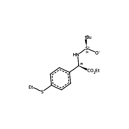 CCOC(=O)[C@H](N[S@+]([O-])C(C)(C)C)c1ccc(SCC)cc1